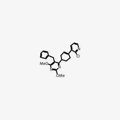 COc1nc(OC)c(Cc2ccccc2)c(C2CC=C(c3cccnc3Cl)CC2)n1